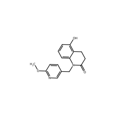 COc1ccc(CN2C(=O)CCc3c(O)cccc32)cn1